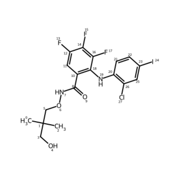 CC(C)(CO)CONC(=O)c1cc(F)c(F)c(F)c1Nc1ccc(I)cc1Cl